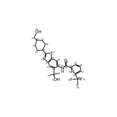 CC(C)(O)c1nc2nc(C3CCC(CO)CC3)sc2cc1NC(=O)c1cccc(C(F)(F)F)n1